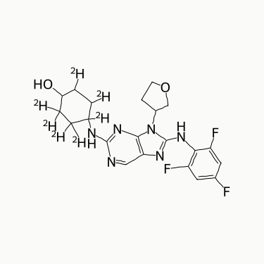 [2H]C1C(O)C([2H])([2H])C([2H])([2H])C([2H])(Nc2ncc3nc(Nc4c(F)cc(F)cc4F)n(C4CCOC4)c3n2)C1[2H]